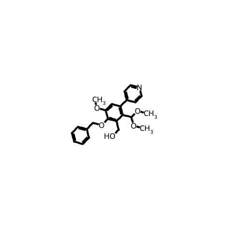 COc1cc(-c2ccncc2)c(C(OC)OC)c(CO)c1OCc1ccccc1